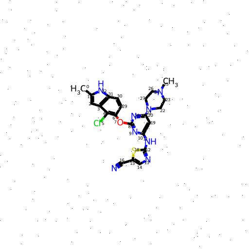 Cc1cc2c(Cl)c(Oc3nc(Nc4ncc(C#N)s4)cc(N4CCN(C)CC4)n3)ccc2[nH]1